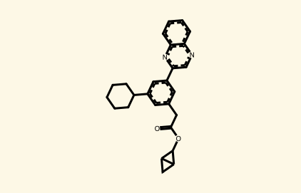 O=C(Cc1cc(-c2cnc3ccccc3n2)cc(C2CCCCC2)c1)OC1C2CC21